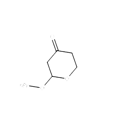 CCCOC1CC(=O)CCO1